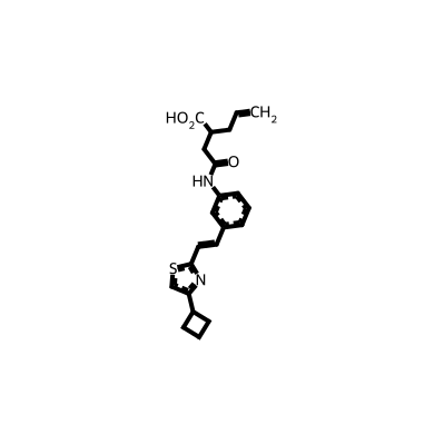 C=CCC(CC(=O)Nc1cccc(/C=C/c2nc(C3CCC3)cs2)c1)C(=O)O